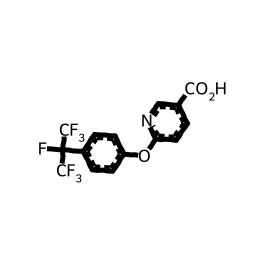 O=C(O)c1ccc(Oc2ccc(C(F)(C(F)(F)F)C(F)(F)F)cc2)nc1